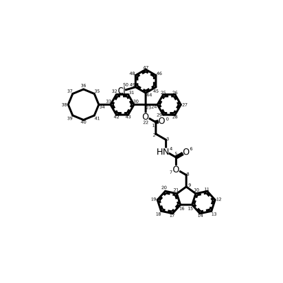 O=C(CCNC(=O)OCC1c2ccccc2-c2ccccc21)OC(c1ccccc1)(c1ccc(C2CCCCCCC2)cc1)c1ccccc1Cl